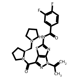 C=C(C)n1nc(C(=O)N2CCC[C@H]2CN2CCCC2)c2sc(NC(=O)c3ccc(F)c(F)c3)nc21